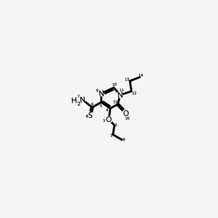 CCCOc1c(C(N)=S)ncn(CCC)c1=O